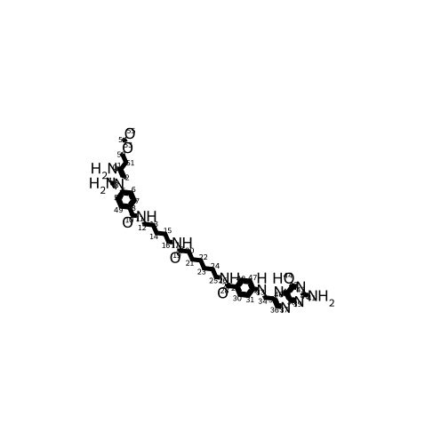 N/C(=C\N(N)c1ccc(C(=O)NCCCCCNC(=O)CCCCCCNC(=O)c2ccc(NCc3cnc4nc(N)nc(O)c4n3)cc2)cc1)CCOC=O